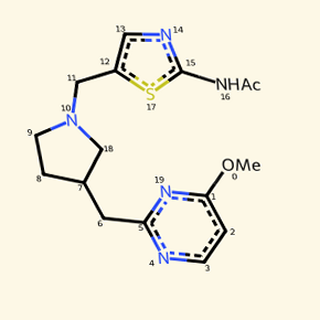 COc1ccnc(CC2CCN(Cc3cnc(NC(C)=O)s3)C2)n1